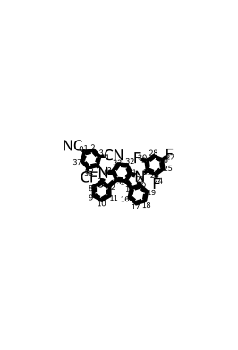 N#Cc1cc(C#N)c(-n2c3ccccc3c3c4c5ccccc5n(-c5c(F)cc(F)cc5F)c4ccc32)c(C(F)(F)F)c1